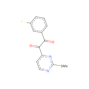 CSc1nccc(C(=O)C(=O)c2cccc(F)c2)n1